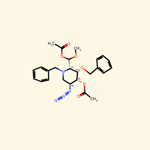 COC(OC(C)=O)[C@@H]1[C@H](OCc2ccccc2)[C@H](OC(C)=O)[C@@H](N=[N+]=[N-])CN1Cc1ccccc1